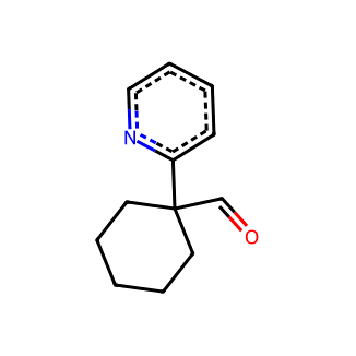 O=CC1(c2ccccn2)CCCCC1